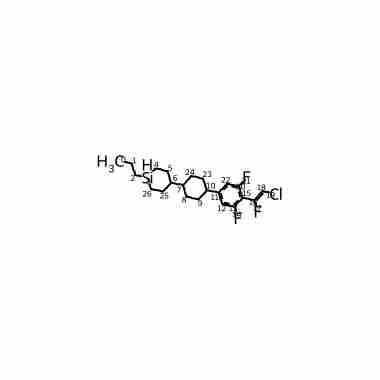 CCC[SiH]1CCC(C2CCC(c3cc(F)c(C(F)=CCl)c(F)c3)CC2)CC1